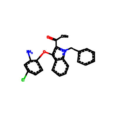 COC(=O)c1c(Oc2ccc(Cl)cc2N)c2ccccc2n1Cc1ccccc1